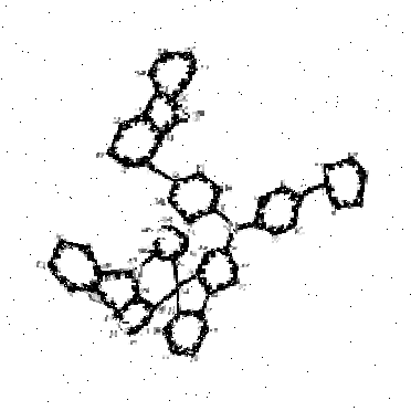 c1ccc(-c2ccc(N(c3ccc(-c4cccc5c4sc4ccccc45)cc3)c3ccc4c(c3)C3(c5ccccc5-4)c4ccccc4-n4c5ccccc5c5cccc3c54)cc2)cc1